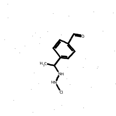 CC(NNCl)c1ccc(C=O)cc1